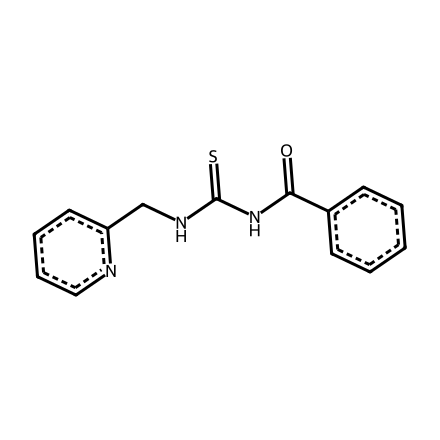 O=C(NC(=S)NCc1ccccn1)c1ccccc1